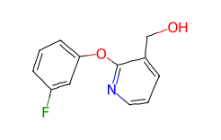 OCc1cccnc1Oc1cccc(F)c1